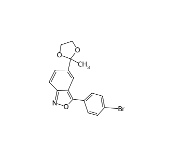 CC1(c2ccc3noc(-c4ccc(Br)cc4)c3c2)OCCO1